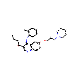 CCCC(=O)c1cnc2ccc(OCCCN3CCCCC3)cc2c1Nc1ccccc1C